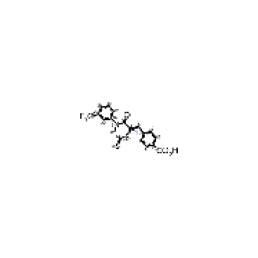 CN(C(=O)/C(=C/c1ccc(C(=O)O)cc1)SC=S)c1cccc(C(F)(F)F)c1